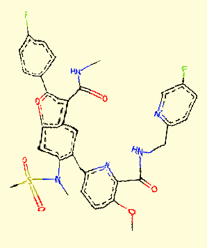 CNC(=O)c1c(-c2ccc(F)cc2)oc2cc(N(C)S(C)(=O)=O)c(-c3ccc(OC)c(C(=O)NCc4ccc(F)cn4)n3)cc12